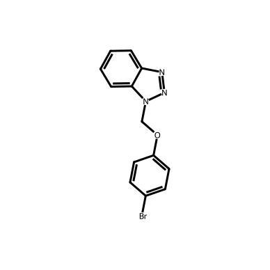 Brc1ccc(OCn2nnc3ccccc32)cc1